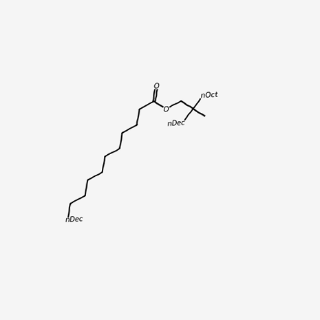 CCCCCCCCCCCCCCCCCCCC(=O)OCC(C)(CCCCCCCC)CCCCCCCCCC